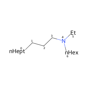 CCCCCCCCCCN(CC)CCCCCC